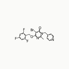 Cc1nc(OCc2c(F)cc(F)cc2F)c(Br)c(=O)n1Cc1ccncc1